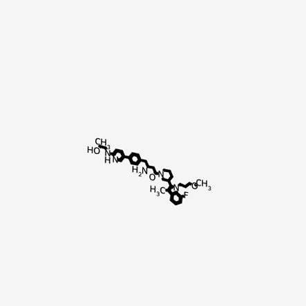 COCCCn1c(C2CCCN(C(=O)C[C@H](N)Cc3ccc(-c4ccc(NCC(C)O)nc4)cc3)C2)c(C)c2cccc(F)c21